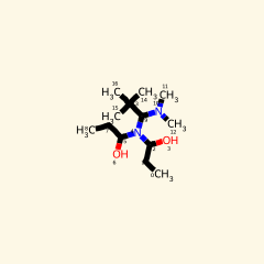 CCC(O)N(C(O)CC)C(N(C)C)C(C)(C)C